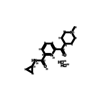 CN1CCC(C(=O)c2cccc(C(=O)NC3CC3)n2)CC1.Cl.Cl